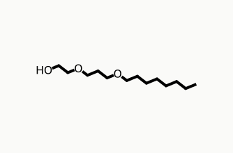 CCCCCCCCOCCCOCCO